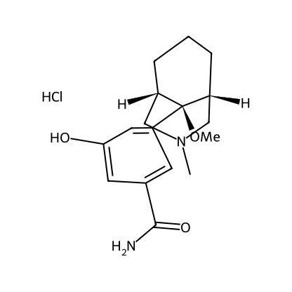 CO[C@]1(c2cc(O)cc(C(N)=O)c2)[C@@H]2CCC[C@H]1CN(C)C2.Cl